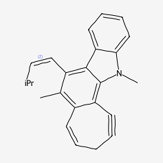 Cc1c2c(c3c(c1/C=C\C(C)C)c1ccccc1n3C)C#CCC=C2